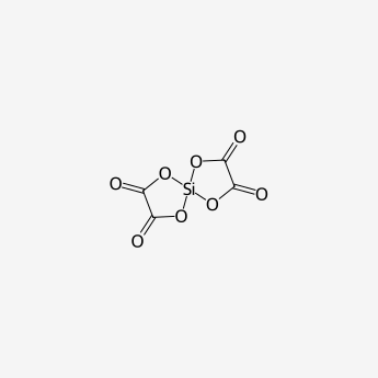 O=C1O[Si]2(OC1=O)OC(=O)C(=O)O2